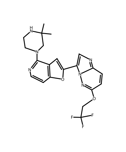 CC1(C)CN(c2nccc3oc(-c4cnc5ccc(OCC(F)(F)F)nn45)cc23)CCN1